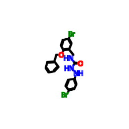 O=C(NCc1cc(Br)ccc1OCc1ccccc1)NNc1ccc(Br)cc1